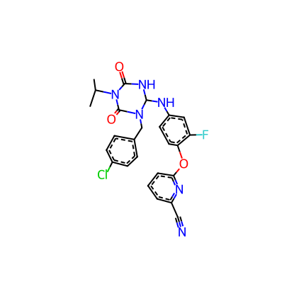 CC(C)N1C(=O)NC(Nc2ccc(Oc3cccc(C#N)n3)c(F)c2)N(Cc2ccc(Cl)cc2)C1=O